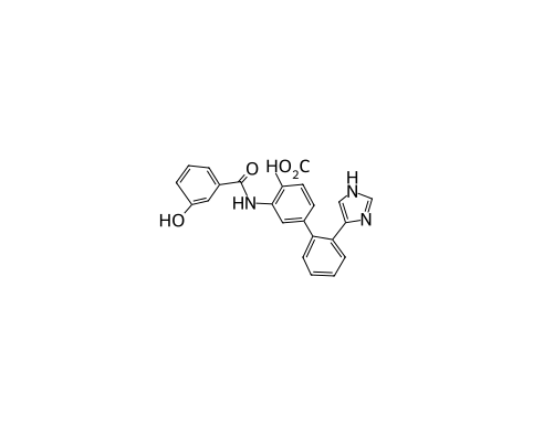 O=C(Nc1cc(-c2ccccc2-c2c[nH]cn2)ccc1C(=O)O)c1cccc(O)c1